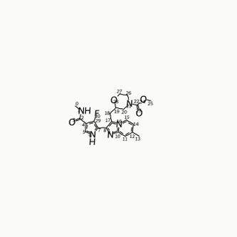 CNC(=O)c1c[nH]c(-c2nc3cc(C)ccn3c2CC2CN(C(=O)OC)CCO2)c1F